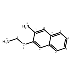 NCOc1cc2ccccc2cc1N